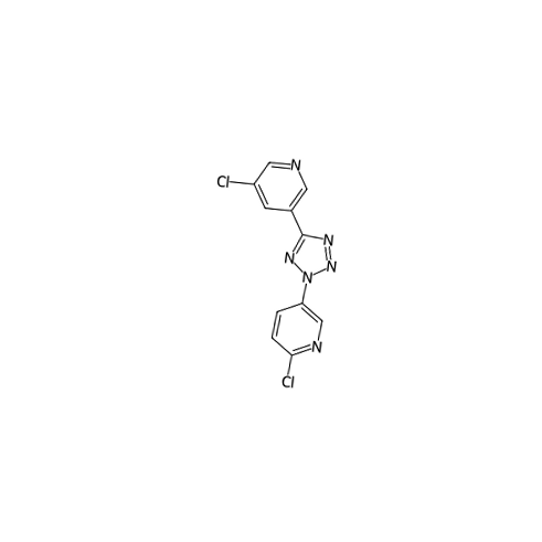 Clc1cncc(-c2nnn(-c3ccc(Cl)nc3)n2)c1